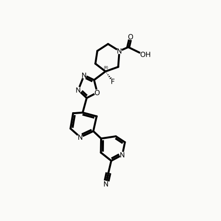 N#Cc1cc(-c2cc(-c3nnc([C@@]4(F)CCCN(C(=O)O)C4)o3)ccn2)ccn1